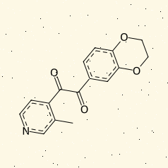 Cc1cnccc1C(=O)C(=O)c1ccc2c(c1)OCCO2